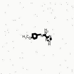 COc1ccc(CN=C(N)c2nc[nH]n2)cc1